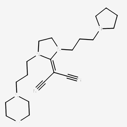 N#CC(C#N)=C1N(CCCN2CCCC2)CCN1CCCN1CCOCC1